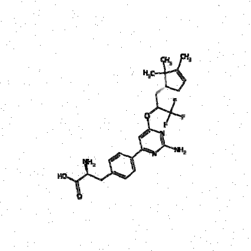 CC1=CC[C@H](CC(Oc2cc(-c3ccc(C[C@H](N)C(=O)O)cc3)nc(N)n2)C(F)(F)F)C1(C)C